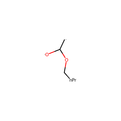 [CH2]C([O])OCCCC